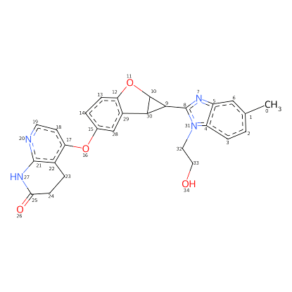 Cc1ccc2c(c1)nc(C1C3Oc4ccc(Oc5ccnc6c5CCC(=O)N6)cc4C31)n2CCO